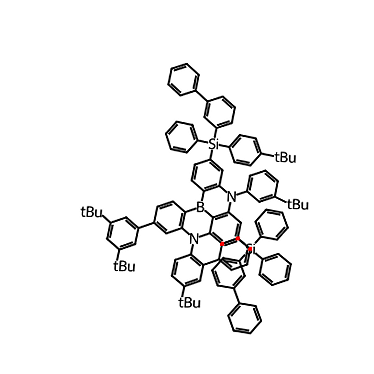 CC(C)(C)c1ccc([Si](c2ccccc2)(c2cccc(-c3ccccc3)c2)c2ccc3c(c2)N(c2cccc(C(C)(C)C)c2)c2cc([Si](c4ccccc4)(c4ccccc4)c4cccc(-c5ccccc5)c4)cc4c2B3c2ccc(-c3cc(C(C)(C)C)cc(C(C)(C)C)c3)cc2N4c2ccc(C(C)(C)C)cc2-c2ccccc2)cc1